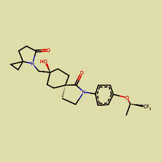 C[C@@H](Oc1ccc(N2CC[C@]3(CC[C@@](O)(CN4C(=O)CCC45CC5)CC3)C2=O)cc1)C(F)(F)F